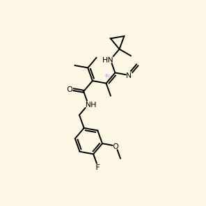 C=N/C(NC1(C)CC1)=C(\C)C(C(=O)NCc1ccc(F)c(OC)c1)=C(C)C